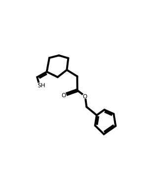 O=C(CC1CCC/C(=C/S)C1)OCc1ccccc1